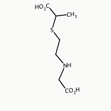 CC(SCCNCC(=O)O)C(=O)O